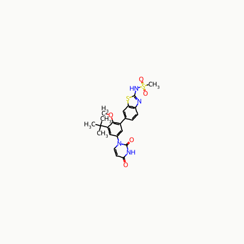 COc1c(-c2ccc3nc(NS(C)(=O)=O)sc3c2)cc(-n2ccc(=O)[nH]c2=O)cc1C(C)(C)C